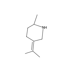 CC(C)=C1CCC(C)NC1